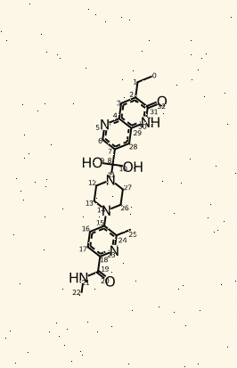 CCc1cc2ncc(C(O)(O)N3CCN(c4ccc(C(=O)NC)nc4C)CC3)cc2[nH]c1=O